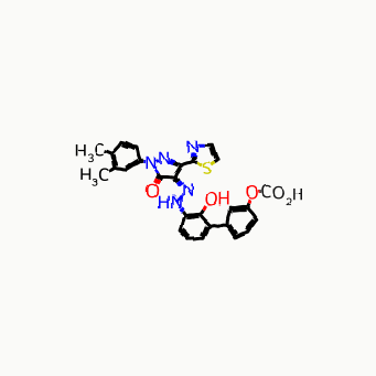 Cc1ccc(N2N=C(c3nccs3)C(=NNc3cccc(-c4cccc(OC(=O)O)c4)c3O)C2=O)cc1C